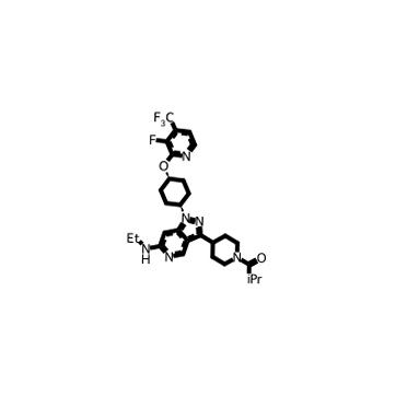 CCNc1cc2c(cn1)c(C1CCN(C(=O)C(C)C)CC1)nn2[C@H]1CC[C@@H](Oc2nccc(C(F)(F)F)c2F)CC1